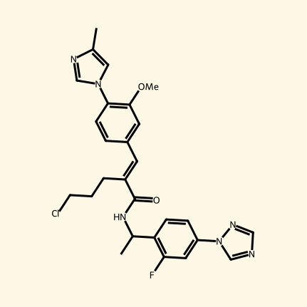 COc1cc(/C=C(\CCCCl)C(=O)NC(C)c2ccc(-n3cncn3)cc2F)ccc1-n1cnc(C)c1